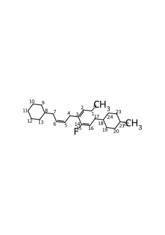 CC/C=C(C/C=C\CC1CCCCC1)\C(F)=C/CC1CCC(C)CC1